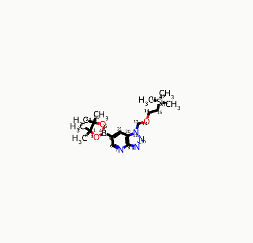 CC1(C)OB(c2cnc3nnn(COCC[Si](C)(C)C)c3c2)OC1(C)C